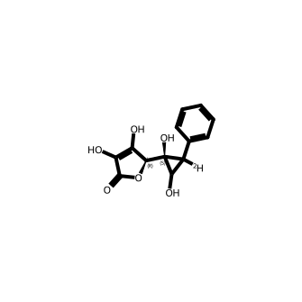 [2H]C1(c2ccccc2)C(O)[C@]1(O)[C@H]1OC(=O)C(O)=C1O